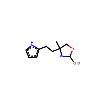 CC1(CCc2ccc[nH]2)COC(C=O)N1